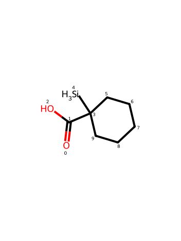 O=C(O)C1([SiH3])CCCCC1